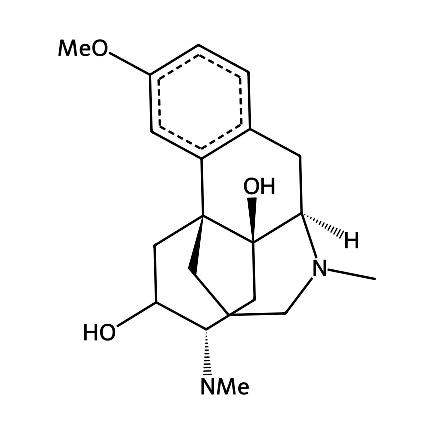 CN[C@H]1C[C@@]2(O)[C@H]3Cc4ccc(OC)cc4[C@@]2(CCCN3C)CC1O